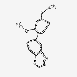 COc1ccc(-c2ccc3cccnc3c2)c(OC)c1